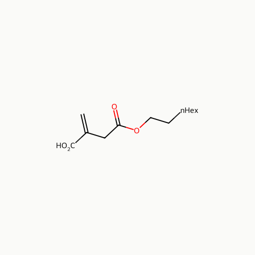 C=C(CC(=O)OCCCCCCCC)C(=O)O